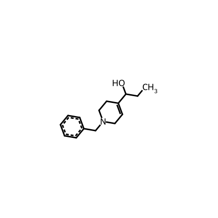 CCC(O)C1=CCN(Cc2ccccc2)CC1